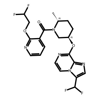 C[C@@H]1CC[C@@H](Oc2nccn3c(C(F)F)cnc23)CN1C(=O)c1cccnc1OCC(F)F